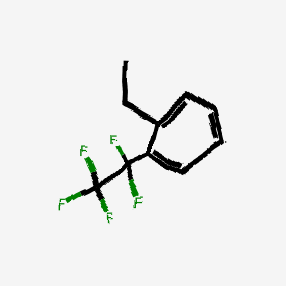 CCc1cc[c]cc1C(F)(F)C(F)(F)F